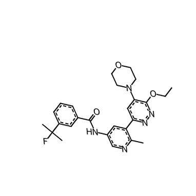 CCOc1nnc(-c2cc(NC(=O)c3cccc(C(C)(C)F)c3)cnc2C)cc1N1CCOCC1